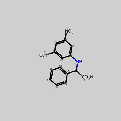 O=C(O)C(Nc1cc([N+](=O)[O-])cc([N+](=O)[O-])c1)c1ccccc1